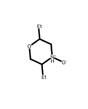 CCC1C[NH+]([O-])C(CC)CO1